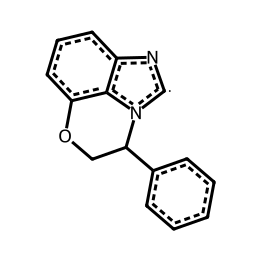 [c]1nc2cccc3c2n1C(c1ccccc1)CO3